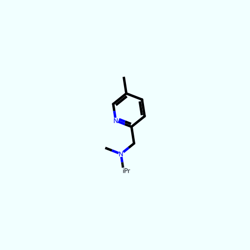 Cc1ccc(CN(C)C(C)C)nc1